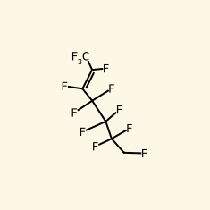 FCC(F)(F)C(F)(F)C(F)(F)C(F)=C(F)C(F)(F)F